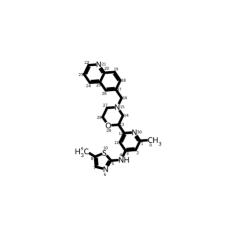 Cc1cc(Nc2ncc(C)s2)cc(C2CN(Cc3ccc4ncccc4c3)CCO2)n1